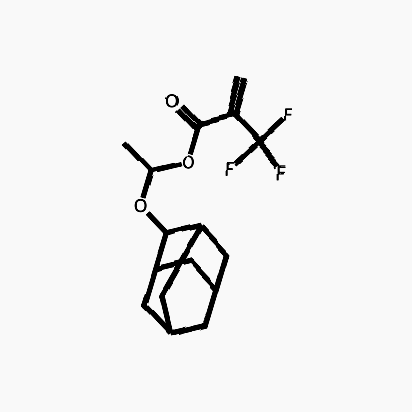 C=C(C(=O)OC(C)OC1C2CC3CC(C2)CC1C3)C(F)(F)F